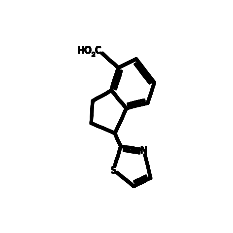 O=C(O)c1cccc2c1CCC2c1nccs1